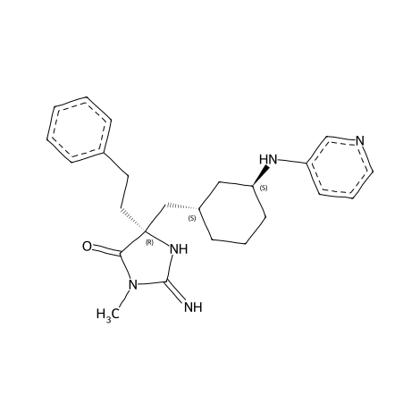 CN1C(=N)N[C@](CCc2ccccc2)(C[C@H]2CCC[C@H](Nc3cccnc3)C2)C1=O